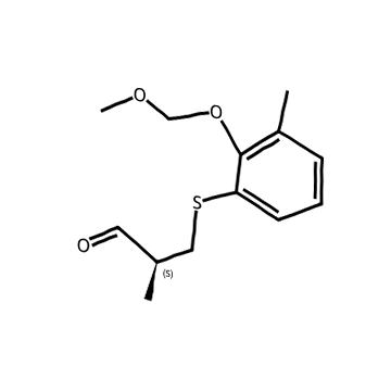 COCOc1c(C)cccc1SC[C@@H](C)C=O